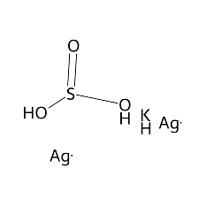 O=S(O)O.[Ag].[Ag].[KH]